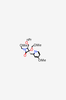 CCCOC[C@@H]1N(COC)C(=O)[C@]1(Cc1cc(OC)ccn1)OCOC